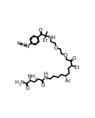 CCC(CC[C@@H](CCCCNC(=O)CC[C@H](N)C(N)=O)C(C)=O)C(=O)COCCOCCNC(C)(CC)C(=O)c1ccc(N=[N+]=[N-])cc1